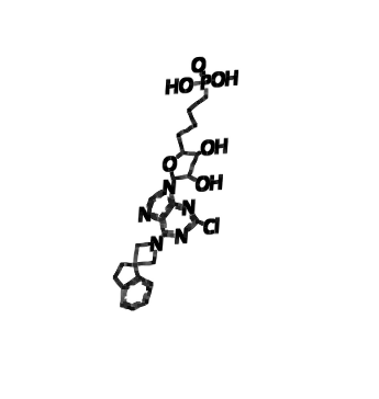 O=P(O)(O)CCCCC1OC(n2cnc3c(N4CC5(CCc6ccccc65)C4)nc(Cl)nc32)C(O)C1O